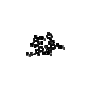 CCc1nc2c(OC)ccc(C(=O)Nc3c(C#N)cnn3C)c2s1.COc1ccc(C(=O)O)c2sc(N3CCOCC3)nc12